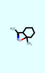 CC1=NOC2(C)CCCCC12